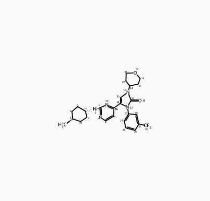 C[C@H]1CC[C@H](Nc2nccc(-c3cn(C4CCOCC4)c(=O)n3-c3cccc(C(F)(F)F)c3)n2)CC1